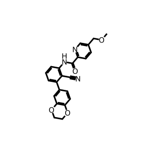 COCc1ccc(C(=O)Nc2cccc(-c3ccc4c(c3)OCCO4)c2C#N)nc1